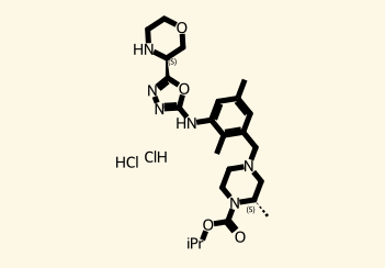 Cc1cc(CN2CCN(C(=O)OC(C)C)[C@@H](C)C2)c(C)c(Nc2nnc([C@@H]3COCCN3)o2)c1.Cl.Cl